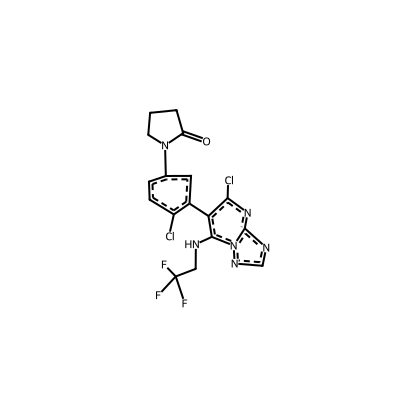 O=C1CCCN1c1ccc(Cl)c(-c2c(Cl)nc3ncnn3c2NCC(F)(F)F)c1